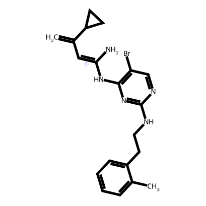 C=C(/C=C(\N)Nc1nc(NCCc2ccccc2C)ncc1Br)C1CC1